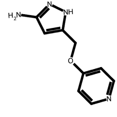 Nc1cc(COc2ccncc2)[nH]n1